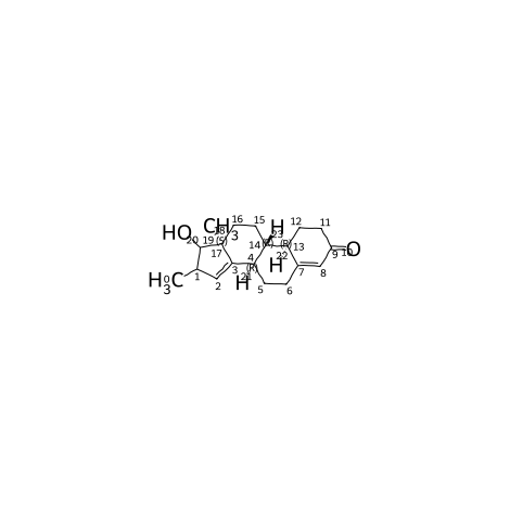 CC1C=C2[C@@H]3CCC4=CC(=O)CC[C@@H]4[C@H]3CC[C@]2(C)C1O